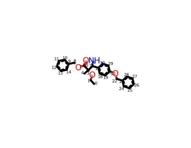 CCOC(C)(C(=O)OCc1ccccc1)C(N)c1ccc(OCc2ccccc2)cc1